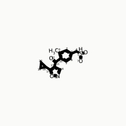 Cc1cc(C[SH](=O)=O)ccc1C(=O)c1cnoc1C1CC1